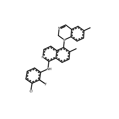 Cc1ccc2c(c1)C=NCN2c1c(C)ccc2c(Nc3cccc(Cl)c3F)nccc12